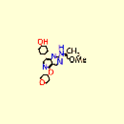 COC[C@@H](C)Nc1ncc2c(OC3CCOCC3)ncc([C@H]3CC[C@H](O)CC3)c2n1